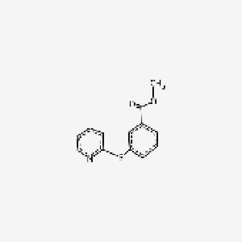 COC(=O)c1cccc(Sc2ccccn2)c1